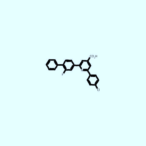 O=C(O)c1cc(-c2ccc(Cl)cc2)nc(-c2ccc(-c3ccccc3)c(F)c2)c1